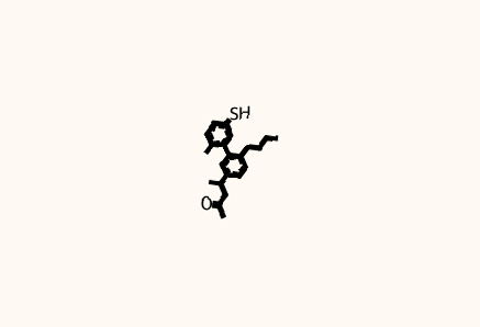 CCCCc1ccc(C(C)CC(C)=O)cc1-c1cc(S)ccc1C